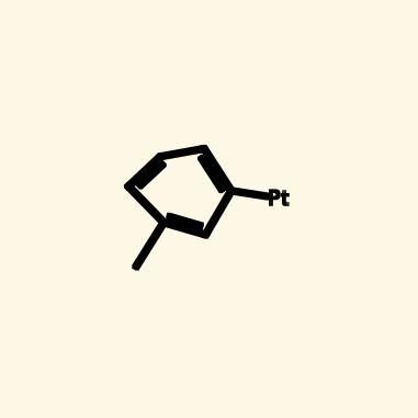 Cc1ccc[c]([Pt])c1